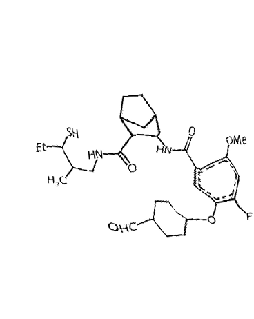 CCC(S)C(C)CNC(=O)C1C2CCC(C2)C1NC(=O)c1cc(OC2CCC(C=O)CC2)c(F)cc1OC